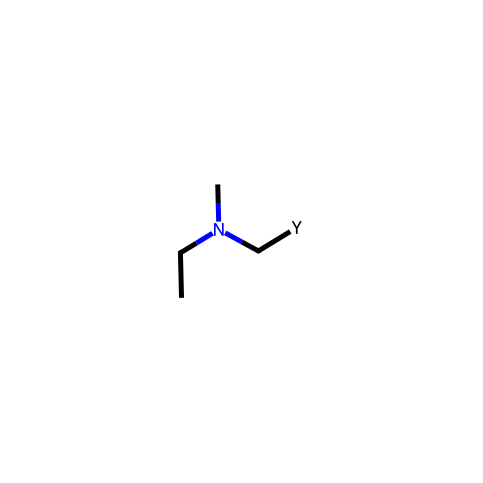 CCN(C)[CH2][Y]